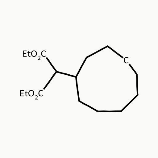 CCOC(=O)C(C(=O)OCC)C1CCCCCCCC1